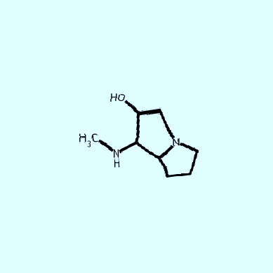 CNC1C(O)CN2CCCC12